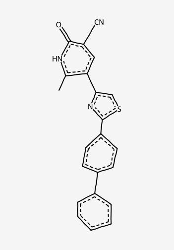 Cc1[nH]c(=O)c(C#N)cc1-c1csc(-c2ccc(-c3ccccc3)cc2)n1